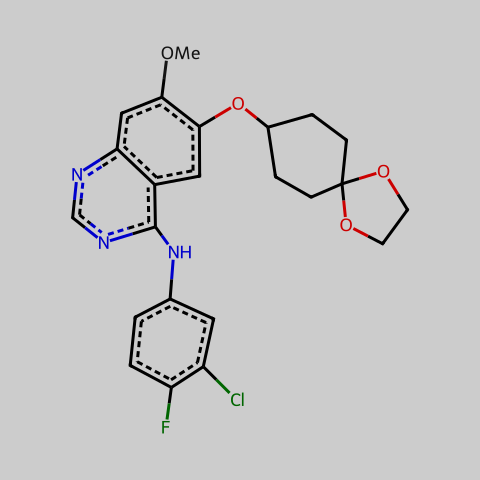 COc1cc2ncnc(Nc3ccc(F)c(Cl)c3)c2cc1OC1CCC2(CC1)OCCO2